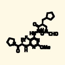 CC[C@H](Nc1nc(OC)nc(NNC(=O)[C@@H](CC2CCCC2)CN(O)C=O)c1F)C(=O)N1CCCC1